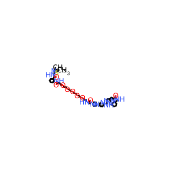 Cc1nc(NC(=O)c2ccccc2NC(=O)CCOCCOCCOCCOCCOCCNC(=O)CN2CCN(c3ccc(Nc4ncc5cc6n(c5n4)C4(CCCCC4)CNC6=O)nc3)CC2)sc1C